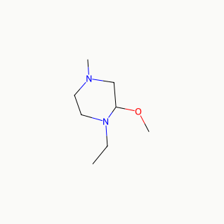 CCN1CCN(C)CC1OC